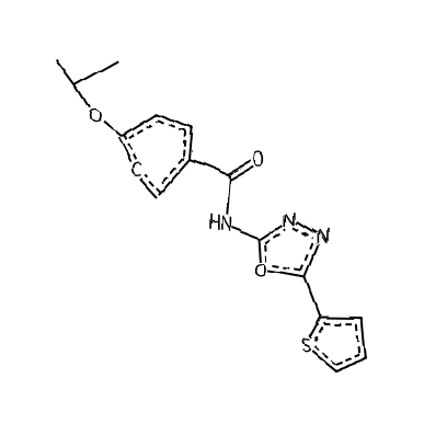 CC(C)Oc1ccc(C(=O)Nc2nnc(-c3cccs3)o2)cc1